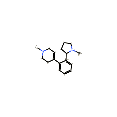 CC(=O)N1CC=C(c2ccccc2[C@H]2CCCN2C(C)(C)C)CC1